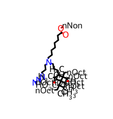 CCCCCCCCCOC(=O)CCCCCCCN(CCCN=[N+]=[N-])CCCC(C(C)CCCCCCCC)C(C(C)CCCCCCCC)(C(C)CCCCCCCC)C(C(C)CCCCCCCC)(C(C)CCCCCCCC)C(C(=O)O)(C(C)CCCCCCCC)C(C)CCCCCCCC